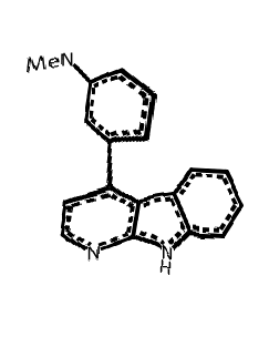 CNc1cccc(-c2ccnc3[nH]c4ccccc4c23)c1